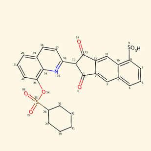 O=C1c2cc3cccc(S(=O)(=O)O)c3cc2C(=O)C1c1ccc2cccc(OS(=O)(=O)C3CCCCC3)c2n1